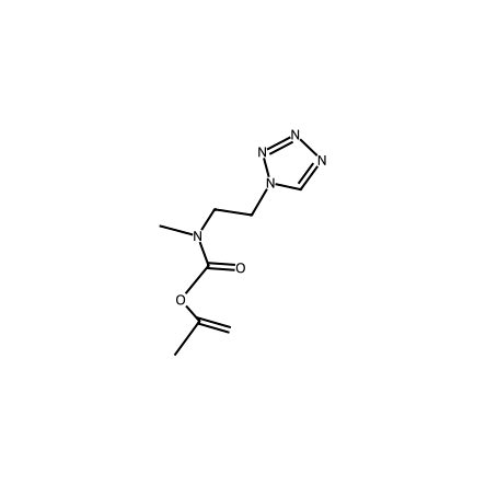 C=C(C)OC(=O)N(C)CCn1cnnn1